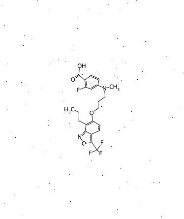 CCCc1c(OCCCN(C)c2ccc(C(=O)O)c(F)c2)ccc2c(C(F)(F)F)onc12